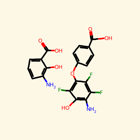 Nc1c(O)c(F)c(Oc2ccc(C(=O)O)cc2)c(F)c1F.Nc1cccc(C(=O)O)c1O